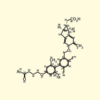 C=C1C=C2C(=CC1OCc1cc(-c3c(C)cc(OCCCC(=O)C(C)=O)cc3C)c(F)cc1F)C[C@H]1[C@H](CC(=O)O)[C@@H]21